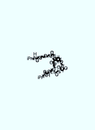 CCC(=O)CSC1CC(=O)N(CCOc2ccc3c(c2)c(C(=O)OCCOCCOCC(=O)NCC(C)C)cn3CC(=O)OCCOCCOCC(=O)NCC(C)C)C1=O